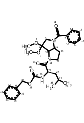 COC1(OC)CN(C(=O)c2ccccc2)C2CCN(C(=O)[C@@H](CC(C)C)NC(=O)OCc3ccccc3)C21